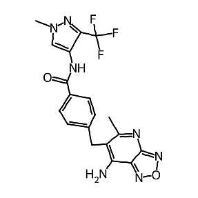 Cc1nc2nonc2c(N)c1Cc1ccc(C(=O)Nc2cn(C)nc2C(F)(F)F)cc1